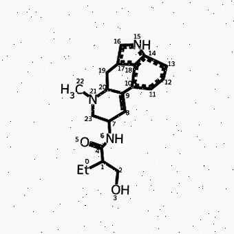 CCC(CO)C(=O)NC1C=C2c3cccc4[nH]cc(c34)CC2N(C)C1